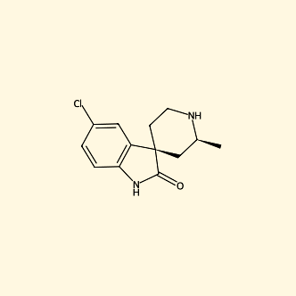 C[C@H]1C[C@@]2(CCN1)C(=O)Nc1ccc(Cl)cc12